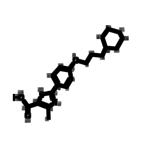 Cc1nc(-c2ccc(OCCCC3CCCCC3)cc2)sc1C(=O)O